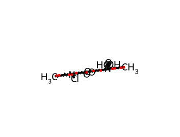 CCCCCCCCCCCCN(CCCl)CCCCCCCCCC(=O)OCCOCCCCCCCCCCN(CCCCCCCCCCCC)CCP(=O)(O)O